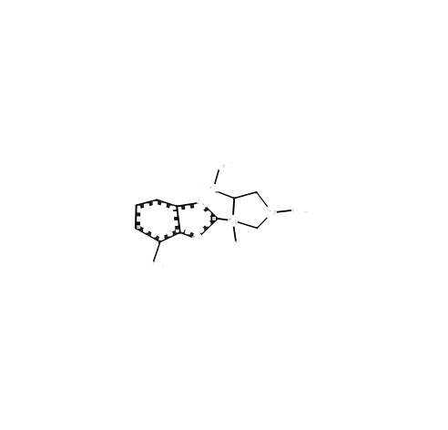 CCCCc1cccc2nc([N+]3([O-])CN(CCCC)CC3N(CCC)CCC)sc12